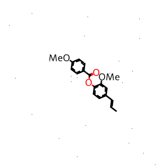 CC=Cc1ccc(OC(=O)c2ccc(OC)cc2)c(OC)c1